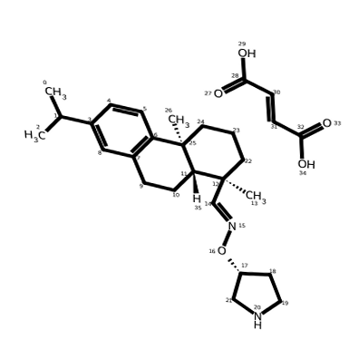 CC(C)c1ccc2c(c1)CC[C@H]1[C@](C)(/C=N/O[C@@H]3CCNC3)CCC[C@]21C.O=C(O)/C=C/C(=O)O